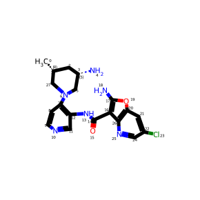 C[C@@H]1C[C@H](N)CN(c2ccncc2NC(=O)c2c(N)oc3cc(Cl)cnc23)C1